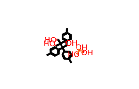 Cc1ccc(CC(c2ccc(C)cc2)(c2ccc(C)cc2)C(CO)(CO)CO)cc1.OP(O)O